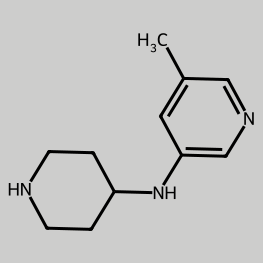 Cc1cncc(NC2CCNCC2)c1